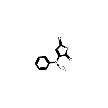 O=C1C=C(N(c2ccccc2)[N+](=O)[O-])C(=O)N1